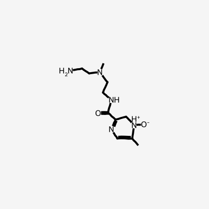 CC1=CN=C(C(=O)NCCN(C)CCN)C[NH+]1[O-]